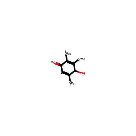 COC1=C(OC)C(O)C(C)=CC1=O